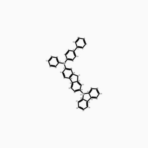 c1ccc(-c2ccc(N(c3ccccc3)c3ccc4c(c3)Cc3cc(-n5c6ccccc6c6ccccc65)ccc3-4)cc2)cc1